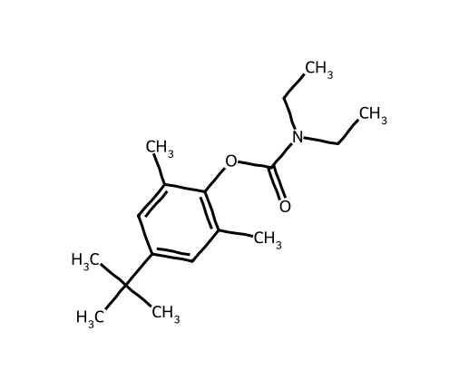 CCN(CC)C(=O)Oc1c(C)cc(C(C)(C)C)cc1C